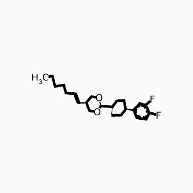 CCCCC/C=C/[C@H]1CO[C@H]([C@H]2CC[C@H](c3ccc(F)c(F)c3)CC2)OC1